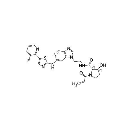 C=CC(=O)N1CC[C@H](O)[C@H]1C(=O)NCCn1cnc2cnc(Nc3ncc(-c4ncccc4F)s3)cc21